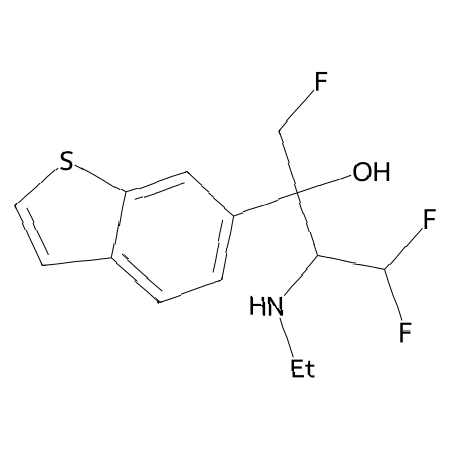 CCNC(C(F)F)C(O)(CF)c1ccc2ccsc2c1